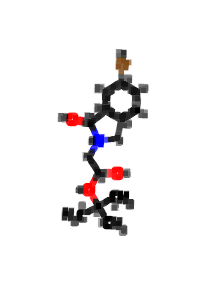 CC(C)(C)OC(=O)CN1Cc2ccc(Br)cc2C1=O